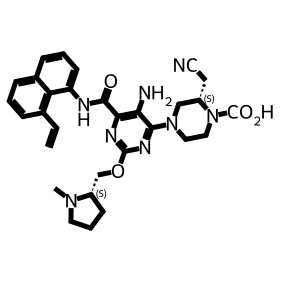 C=Cc1cccc2cccc(NC(=O)c3nc(OC[C@@H]4CCCN4C)nc(N4CCN(C(=O)O)[C@@H](CC#N)C4)c3N)c12